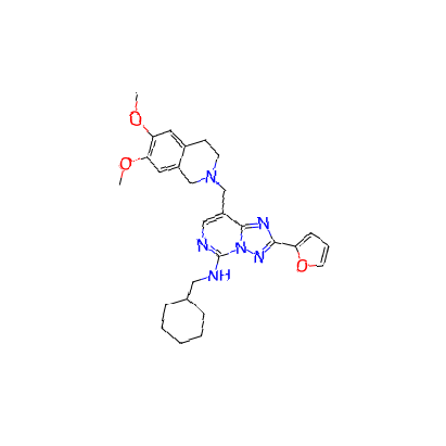 COc1cc2c(cc1OC)CN(Cc1cnc(NCC3CCCCC3)n3nc(-c4ccco4)nc13)CC2